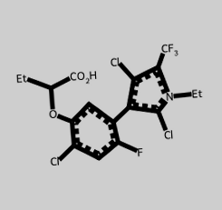 CCC(Oc1cc(-c2c(Cl)c(C(F)(F)F)n(CC)c2Cl)c(F)cc1Cl)C(=O)O